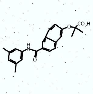 Cc1cc(C)cc(NC(=O)c2ccc3cc(OC(C)(C)C(=O)O)ccc3c2)c1